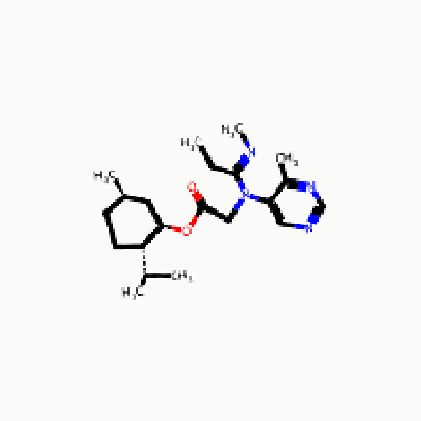 CC/C(=N\C)N(CC(=O)O[C@@H]1C[C@H](C)CC[C@H]1C(C)C)c1cncnc1C